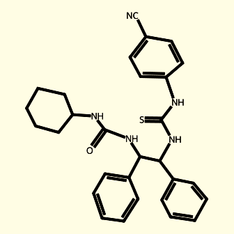 N#Cc1ccc(NC(=S)NC(c2ccccc2)C(NC(=O)NC2CCCCC2)c2ccccc2)cc1